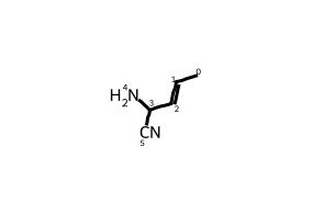 CC=CC(N)C#N